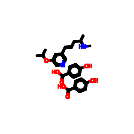 CNC(C)CC=Cc1cncc(OC(C)C)c1.O=C(O)c1ccc(O)cc1.O=C(O)c1ccc(O)cc1